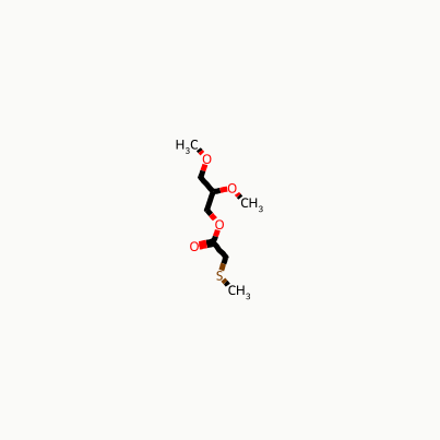 COCC(COC(=O)CSC)OC